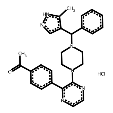 CC(=O)c1ccc(-c2nccnc2N2CCN(C(c3ccccc3)c3cn[nH]c3C)CC2)cc1.Cl